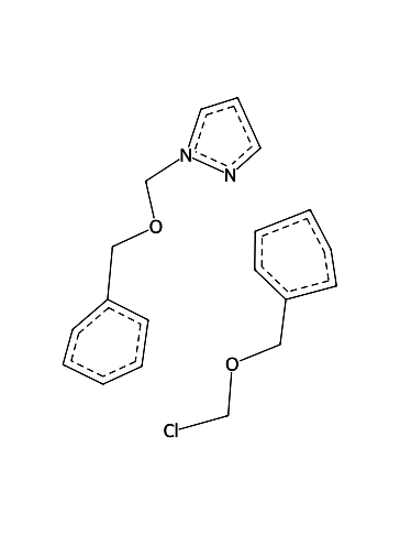 ClCOCc1ccccc1.c1ccc(COCn2cccn2)cc1